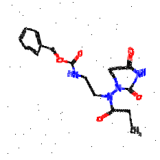 CCC(=O)N(CCNC(=O)OCc1ccccc1)N1CC(=O)NC1=O